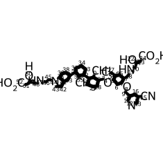 Cc1c(COc2cc(OCc3cncc(C#N)c3)c(CNC[C@@H](O)CC(=O)O)cc2Cl)cccc1-c1cccc(-c2ccc3c(ccn3CCNC[C@@H](O)CC(=O)O)c2)c1C